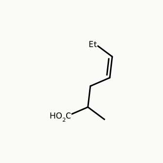 CC/C=C\CC(C)C(=O)O